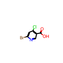 O=C(O)c1cnc(Br)cc1Cl